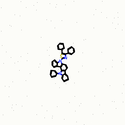 c1ccc(-c2nc(-n3c4ccccc4c4c3ccc3c5ccccc5n(-c5ccccc5)c34)sc2-c2ccccc2)cc1